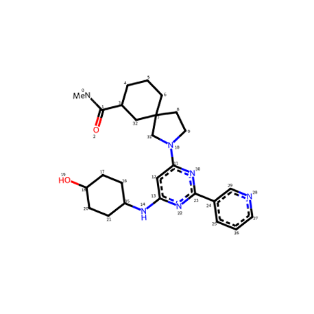 CNC(=O)C1CCCC2(CCN(c3cc(NC4CCC(O)CC4)nc(-c4cccnc4)n3)C2)C1